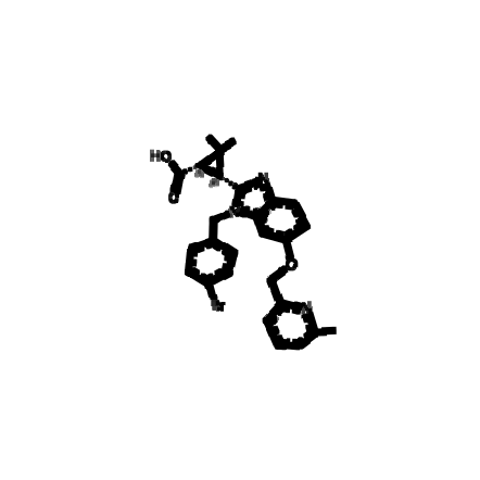 Cc1cccc(COc2ccc3nc([C@@H]4[C@H](C(=O)O)C4(C)C)n(Cc4ccc(Br)cc4)c3c2)n1